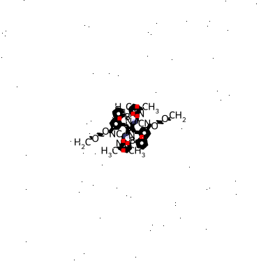 C=COCCOCc1cccc(-c2c3/c(=C(\C#N)c4nc(C)cc(C)n4)n(B(c4ccccc4)c4ccccc4)c(-c4cccc(COCCOC=C)c4)c3/c(=C(\C#N)c3nc(C)cc(C)n3)n2B(c2ccccc2)c2ccccc2)c1